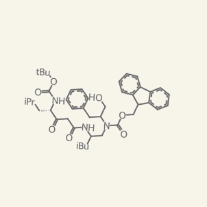 CCC(C)C(CN(C(=O)OCC1c2ccccc2-c2ccccc21)C(CO)Cc1ccccc1)NC(=O)CC(=O)[C@H](CC(C)C)NC(=O)OC(C)(C)C